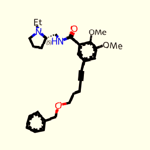 CCN1CCC[C@H]1CNC(=O)c1cc(C#CCCCOCc2ccccc2)cc(OC)c1OC